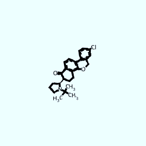 CC(C)(C)N1CCC[C@H]1C1CCc2c(ccc3c2OCc2cc(Cl)ccc2-3)C1=O